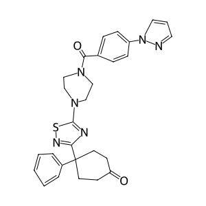 O=C1CCC(c2ccccc2)(c2nsc(N3CCN(C(=O)c4ccc(-n5cccn5)cc4)CC3)n2)CC1